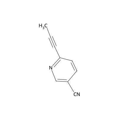 CC#Cc1ccc(C#N)cn1